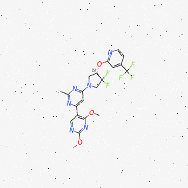 COc1ncc(-c2cc(N3C[C@H](Oc4cc(C(F)(F)F)ccn4)C(F)(F)C3)nc(C)n2)c(OC)n1